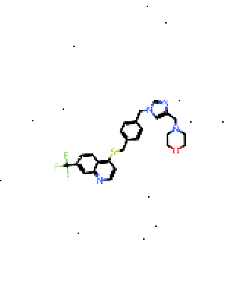 FC(F)(F)c1ccc2c(SCc3ccc(Cn4cnc(CN5CCOCC5)c4)cc3)ccnc2c1